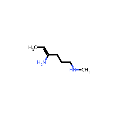 CC=C(N)CCCNC